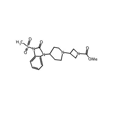 COC(=O)N1CC(N2CCC(n3c(=O)n(S(C)(=O)=O)c4ccccc43)CC2)C1